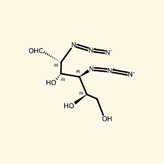 [N-]=[N+]=N[C@H]([C@H](O)[C@H](C=O)N=[N+]=[N-])[C@H](O)CO